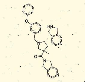 CC1(C(=O)N2Cc3ccncc3C2)CCN(Cc2cccc(Oc3ccccc3)c2)C1.c1cc2c(cn1)CNC2